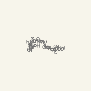 COc1cc(C(=O)N[C@H]2CCN(C(=O)CCC(=O)N3CCN(c4ccc5c(c4)C(=O)N(C4CCC(=O)NC4=O)C5=O)CC3)C2)ccc1Nc1ncc2c(n1)N(C1CCCC1)CC(F)(F)C(=O)N2C